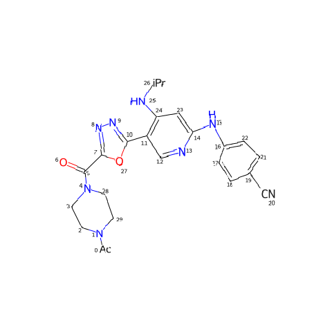 CC(=O)N1CCN(C(=O)c2nnc(-c3cnc(Nc4ccc(C#N)cc4)cc3NC(C)C)o2)CC1